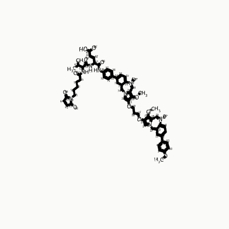 COc1ccc(C2=CC=C3C(C2)Cn2cc(OCCCOc4cn5c(c4OC)C=[N+]([O-])C4=CC=C(c6ccc(NC(=O)C(CCC(=O)O)NC(=O)C(NC(=O)CCCCCN7C(=O)C=CC7=O)C(C)C)cc6)CC4C5)c(OC)c2C=[N+]3[O-])cc1